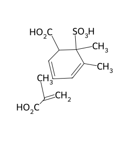 C=C(C)C(=O)O.CC1=CC=CC(C(=O)O)C1(C)S(=O)(=O)O